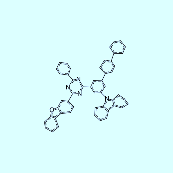 c1ccc(-c2ccc(-c3cc(-c4nc(-c5ccccc5)nc(-c5ccc6c(c5)oc5ccccc56)n4)cc(-n4c5ccccc5c5ccccc54)c3)cc2)cc1